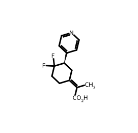 C/C(C(=O)O)=C1/CCC(F)(F)[C@@H](c2ccncc2)C1